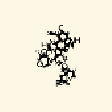 C#Cc1c(Cl)cc2[nH]ncc2c1-c1nccn2c1c(F)c1nc(OC[C@@]34CCCN3C[C@H](F)C4)nc(N3CCOC[C@@](C)(O)C3)c12